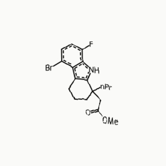 CCCC1(CC(=O)OC)CCCc2c1[nH]c1c(F)ccc(Br)c21